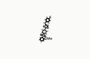 COc1ccccc1S(=O)(=O)N1CCN(c2nc(Cc3ccc(F)cc3)ns2)CC1